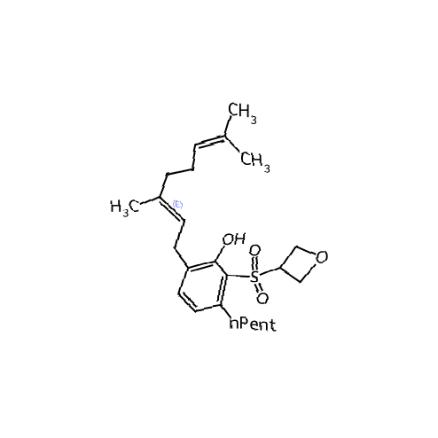 CCCCCc1ccc(C/C=C(\C)CCC=C(C)C)c(O)c1S(=O)(=O)C1COC1